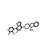 Cc1nccc(-c2c(C)nc(N3CCC4(CC3)Cc3ncccc3[C@H]4N)c3ccnn23)c1Cl